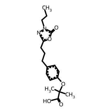 CCCn1nc(CCCc2ccc(OC(C)(C)C(=O)O)cc2)oc1=O